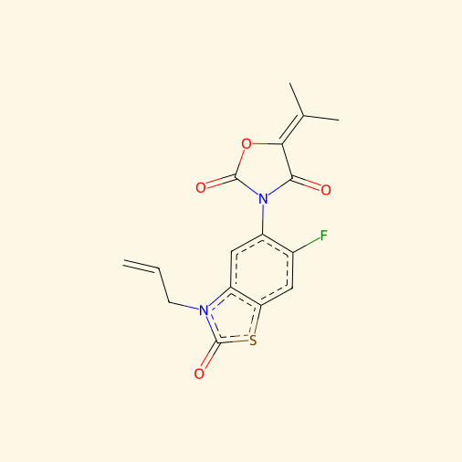 C=CCn1c(=O)sc2cc(F)c(N3C(=O)OC(=C(C)C)C3=O)cc21